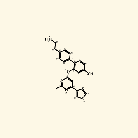 Cc1nc(Oc2cc(C#N)ccc2-c2ccc(CCN)cc2)cc(-c2ccsc2)n1